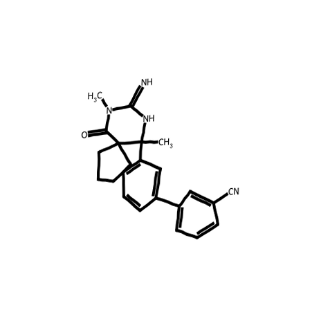 CN1C(=N)NC(C)(c2cccc(-c3cccc(C#N)c3)c2)C2(CCCC2)C1=O